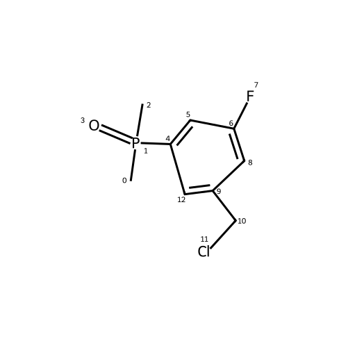 CP(C)(=O)c1cc(F)cc(CCl)c1